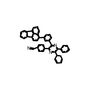 N#Cc1ccc(-c2nc(C3C=CC=CC3)c(-c3ccccc3)nc2-c2cccc(-c3ccc4c5c(cccc35)-c3ccccc3-4)c2)cc1